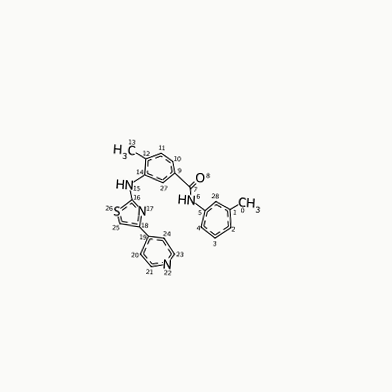 Cc1cccc(NC(=O)c2ccc(C)c(Nc3nc(-c4ccncc4)cs3)c2)c1